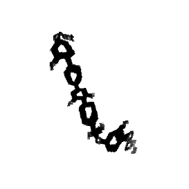 CCCCCc1ccc(-c2ccc(-c3cc(F)c(-c4ccc(C(F)(F)Oc5ccc(OC(F)(F)F)c(F)c5)cc4)c(F)c3)cc2)c(F)c1